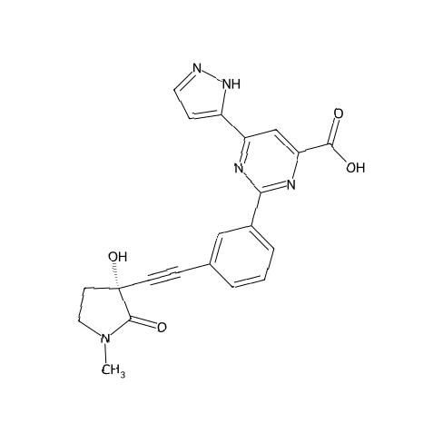 CN1CC[C@@](O)(C#Cc2cccc(-c3nc(C(=O)O)cc(-c4ccn[nH]4)n3)c2)C1=O